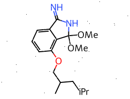 COC1(OC)NC(=N)c2cccc(OCC(C)CC(C)C)c21